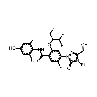 CCn1c(CO)nn(-c2cc(O[C@@H](CF)C(F)F)c(C(=O)Nc3c(F)cc(O)cc3Cl)cc2F)c1=O